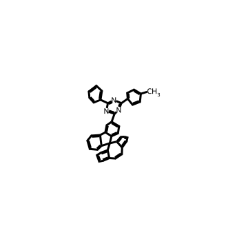 Cc1ccc(-c2nc(-c3ccccc3)nc(-c3ccc4c(c3)-c3ccccc3C43c4ccccc4C=Cc4ccccc43)n2)cc1